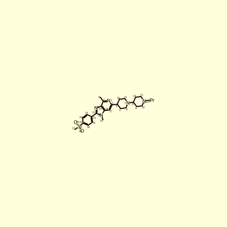 Cc1nc(C2CCN(C3CCN(C(C)C)CC3)CC2)cc2c1nc(-c1ccc(S(C)(=O)=O)cc1)n2C